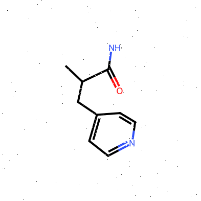 CC(Cc1ccncc1)C([NH])=O